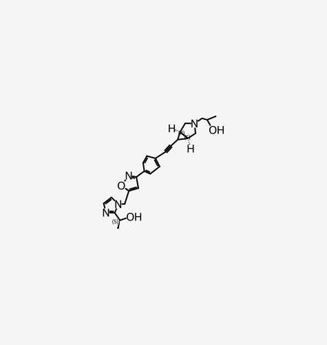 CC(O)CN1C[C@@H]2C(C#Cc3ccc(-c4cc(Cn5ccnc5[C@H](C)O)on4)cc3)[C@@H]2C1